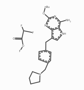 CCCCOc1nc(N)c2[nH]cc(Cc3ccc(CN4CCCC4)cc3)c2n1.O=C(OF)C(F)F